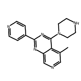 Cc1cncc2nc(-c3ccncc3)nc(N3CCNCC3)c12